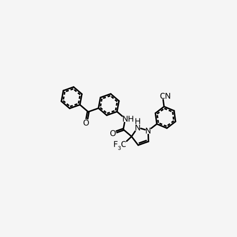 N#Cc1cccc(N2C=CC(C(=O)Nc3cccc(C(=O)c4ccccc4)c3)(C(F)(F)F)N2)c1